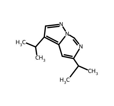 CC(C)c1cc2c(C(C)C)cnn2cn1